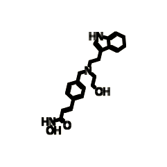 O=C(/C=C/c1ccc(CN(CCO)CCc2c[nH]c3c2=CCCC=3)cc1)NO